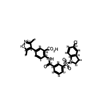 Cc1noc(C)c1-c1ccc(NC(=O)c2cccc(S(=O)(=O)N3CCc4cc(Cl)ccc43)c2)c(C(=O)O)c1